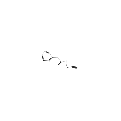 C#CCNC(=O)Cc1ccccc1